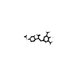 COc1c(C(C)C)cc(C=C2C(=O)Nc3cc(NC(C)=O)ccc32)cc1C(C)C